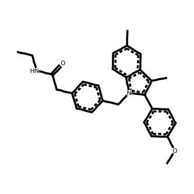 CCNC(=O)Cc1ccc(Cn2c(-c3ccc(OC)cc3)c(C)c3cc(C)ccc32)cc1